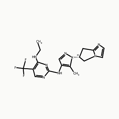 CCNc1nc(Nc2cnn([C@@H]3Cc4nccn4C3)c2C)ncc1C(F)(F)F